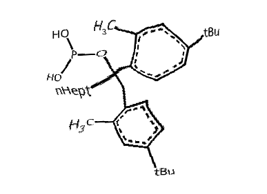 CCCCCCCC(OP(O)O)(c1ccc(C(C)(C)C)cc1C)c1ccc(C(C)(C)C)cc1C